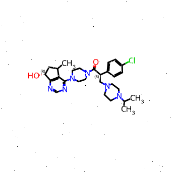 CC1C[C@@H](O)c2ncnc(N3CCN(C(=O)[C@H](CN4CCN(C(C)C)CC4)c4ccc(Cl)cc4)CC3)c21